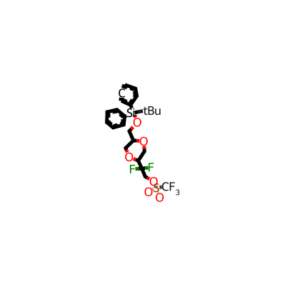 CC(C)(C)[Si](OCC1COC(C(F)(F)COS(=O)(=O)C(F)(F)F)CO1)(c1ccccc1)c1ccccc1